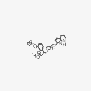 O=C(O)CC(CN1CC[C@@](F)(CCc2ccc3c(n2)NCCC3)C1)c1cccc(OC[C@@H]2CCCO2)c1